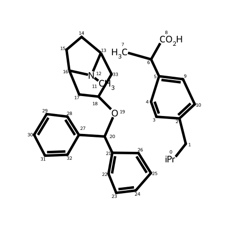 CC(C)Cc1ccc(C(C)C(=O)O)cc1.CN1C2CCC1CC(OC(c1ccccc1)c1ccccc1)C2